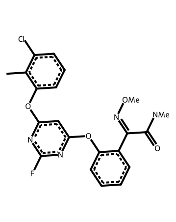 CNC(=O)C(=NOC)c1ccccc1Oc1cc(Oc2cccc(Cl)c2C)nc(F)n1